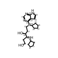 OCCC(NC1CCCC1)C(O)CCN(c1ncnc2[nH]ccc12)C1CCCC1